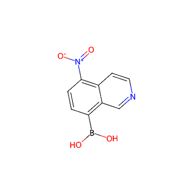 O=[N+]([O-])c1ccc(B(O)O)c2cnccc12